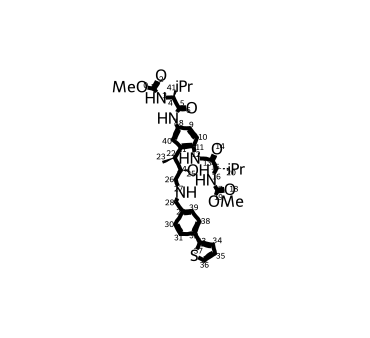 COC(=O)N[C@H](C(=O)Nc1ccc(NC(=O)[C@@H](NC(=O)OC)C(C)C)c([C@H](C)[C@H](O)CNCc2ccc(-c3cccs3)cc2)c1)C(C)C